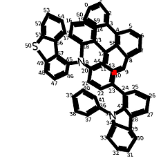 c1ccc(-c2cccc3cccc(-c4ccccc4N(c4ccc(-c5cccc6c7ccccc7n(-c7ccccc7)c56)cc4)c4cccc5sc6ccccc6c45)c23)cc1